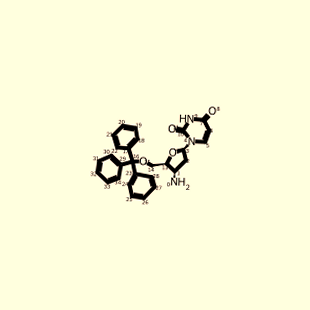 N[C@H]1C[C@H](n2ccc(=O)[nH]c2=O)O[C@@H]1COC(c1ccccc1)(c1ccccc1)c1ccccc1